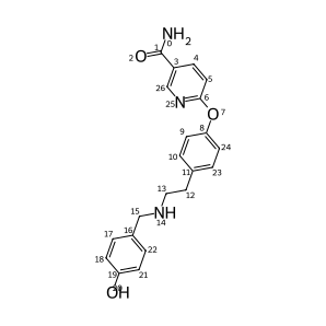 NC(=O)c1ccc(Oc2ccc(CCNCc3ccc(O)cc3)cc2)nc1